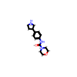 O=C(Nc1ccc(C2CCNC2)cc1)N1CCOCC1